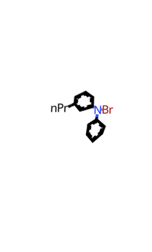 CCCc1cccc(N(Br)c2ccccc2)c1